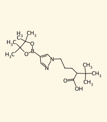 CC(C)(C)C(CCCn1cc(B2OC(C)(C)C(C)(C)O2)cn1)C(=O)O